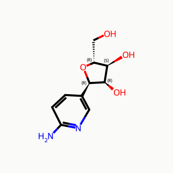 Nc1ccc([C@H]2O[C@H](CO)[C@@H](O)[C@H]2O)cn1